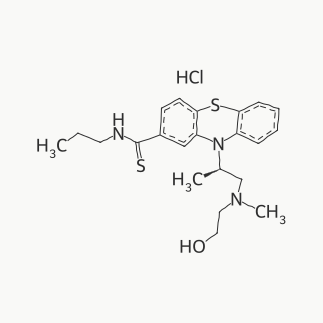 CCCNC(=S)c1ccc2c(c1)N([C@H](C)CN(C)CCO)c1ccccc1S2.Cl